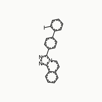 Ic1ccccc1-c1ccc(-c2nnc3c4ccccc4ccn23)cc1